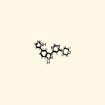 c1cc(-c2ccc3[nH]nc(-c4cc(N5CCOCC5)ncn4)c3c2)[nH]n1